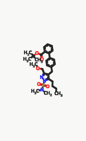 CCCCc1c(Cc2ccc(-c3ccccc3C(=O)OC(C)(C)C)cc2)c(COC)nn1S(=O)(=O)N(C)C